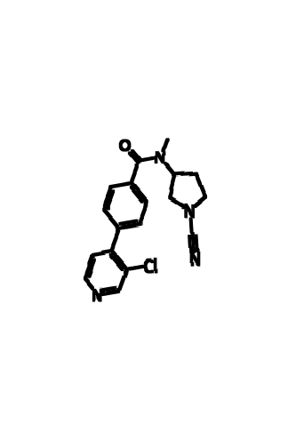 CN(C(=O)c1ccc(-c2ccncc2Cl)cc1)C1CCN(C#N)C1